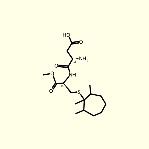 COC(=O)[C@H](CSC1(C)C(C)CCCCC1C)NC(=O)[C@@H](N)CC(=O)O